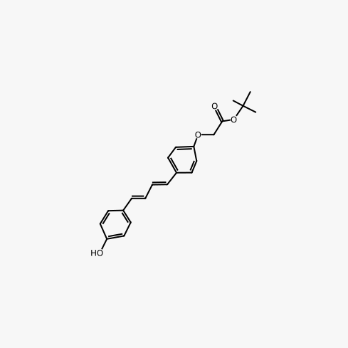 CC(C)(C)OC(=O)COc1ccc(C=CC=Cc2ccc(O)cc2)cc1